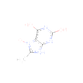 Cc1[nH]c2nc(O)nc(O)c2[n+]1[O-]